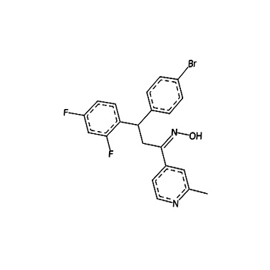 Cc1cc(C(CC(c2ccc(Br)cc2)c2ccc(F)cc2F)=NO)ccn1